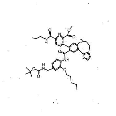 CCCCCOc1cc(CNC(=O)OC(C)(C)C)ccc1NC(=O)c1cc2c(cc1-c1ccc(C(=O)NCCC)nc1C(=O)OC)OCCc1ccsc1-2